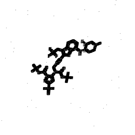 CN1CC[C@H](Nc2cccc3c(CC(F)(F)F)c(C#CCN(C(=O)OC(C)(C)C)c4cc(P(C)(C)=O)nn4C(=O)OC(C)(C)C)sc23)[C@H](F)C1